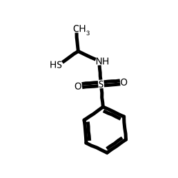 CC(S)NS(=O)(=O)c1ccccc1